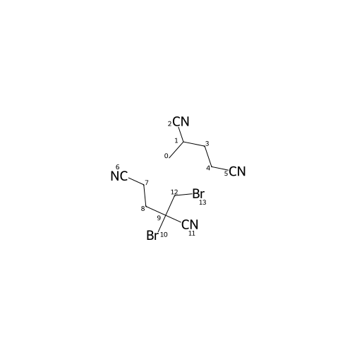 CC(C#N)CCC#N.N#CCCC(Br)(C#N)CBr